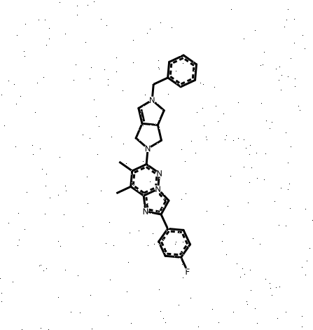 Cc1c(N2CC3=CN(Cc4ccccc4)CC3C2)nn2cc(-c3ccc(F)cc3)nc2c1C